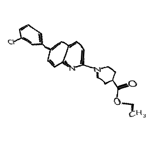 CCOC(=O)C1CCN(c2ccc3cc(-c4cccc(Cl)c4)ccc3n2)CC1